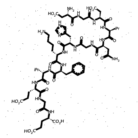 CC(C)[C@H](NC(=O)[C@H](CC(=O)O)NC(=O)CNC(=O)[C@@H](N)CC(=O)O)C(=O)N[C@@H](CC(N)=O)C(=O)NCC(=O)N[C@@H](Cc1c[nH]cn1)C(=O)N[C@@H](CCCCN)C(=O)N[C@@H](Cc1ccccc1)C(=O)N[C@H](C(=O)N[C@@H](CCC(=O)O)C(=O)NCC(=O)N[C@@H](CCC(=O)O)C(=O)O)C(C)C